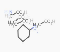 CC(=O)O.CC(=O)O.CC(=O)O.CC(=O)O.N.NC1CCCCC1